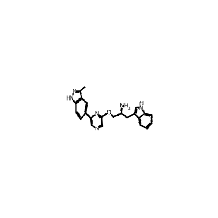 Cc1n[nH]c2ccc(-c3cncc(OCC(N)Cc4c[nH]c5ccccc45)n3)cc12